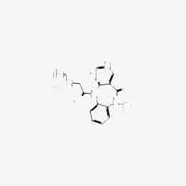 CCN1C(=O)c2cncnc2N(C(=O)CN(C(C)C)C(C)C)c2ccccc21